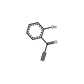 C#CC(=O)c1ccccc1O